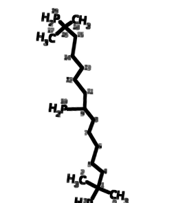 CC(C)(P)CCCCCC(P)CCCCCC(C)(C)P